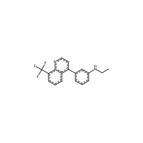 CCNc1cccc(-c2[c]cnc3c(C(F)(F)F)cccc23)c1